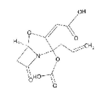 C=CCC1(OC(=O)O)C(=CC(=O)O)O[C@@H]2CC(=O)N21